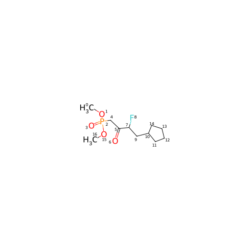 COP(=O)(CC(=O)C(F)CC1CCCC1)OC